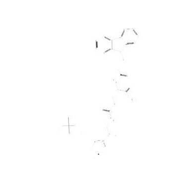 COC(C)(C)OCC[C@H]1CC(C)(C)O[C@@H]1[C@@H](O)CNC(=O)CC[C@H](NC(=O)OCC1c2ccccc2-c2ccccc21)C(=O)O